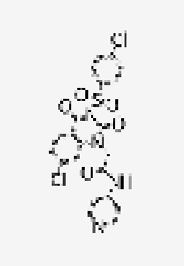 O=C(Cn1c(=O)n(S(=O)(=O)c2ccc(Cl)cc2)c(=O)c2ccc(Cl)cc21)Nc1ccncc1